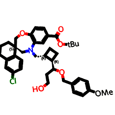 COc1ccc(COC(CCO)[C@@H]2CC[C@H]2CN2C[C@@]3(CCCc4cc(Cl)ccc43)COc3ccc(C(=O)OC(C)(C)C)cc32)cc1